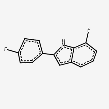 Fc1ccc(-c2cc3c[c]cc(F)c3[nH]2)cc1